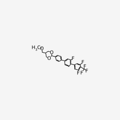 COCC1COC(c2ccc(-c3ccc(-c4cc(F)c(C(F)(F)F)c(F)c4)c(F)c3)cc2)OC1